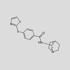 O=C(NC1CC2CCN(CC2)C1)c1ccc(Sc2nccs2)cc1